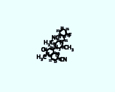 C[C@@H]1CN(c2cc(=O)n(C)c3ccc(C#N)nc23)[C@@H](C)CN1Cc1c(F)cccc1C#N